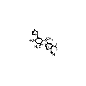 CN(c1ccc(C#N)c(C(F)F)c1)[C@H]1C=C(n2ccnc2)[C@@H](O)CC1(C)C